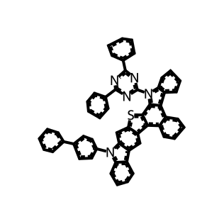 c1ccc(-c2ccc(-n3c4ccccc4c4cc5c(cc43)sc3c5c4ccccc4c4c5ccccc5n(-c5nc(-c6ccccc6)nc(-c6ccccc6)n5)c34)cc2)cc1